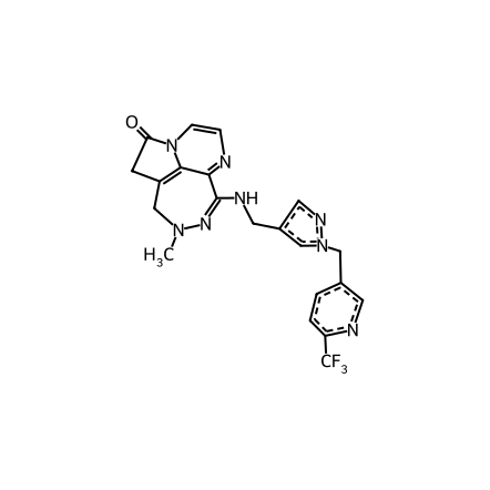 CN1CC2=C3C(=NC=CN3C(=O)C2)C(NCc2cnn(Cc3ccc(C(F)(F)F)nc3)c2)=N1